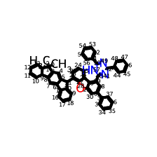 CC1(C)c2cc3c(cc2C2C=CC=CC21)-c1ccccc1C3c1cccc2c1oc1cc(-c3ccccc3)cc(C3=NC(c4ccccc4)=NC(c4ccccc4)N3)c12